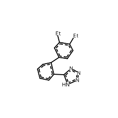 CCc1ccc(-c2ccccc2-c2nnn[nH]2)cc1CC